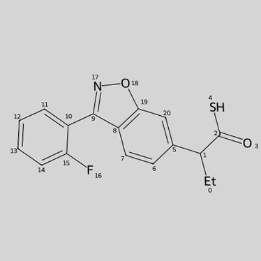 CCC(C(=O)S)c1ccc2c(-c3ccccc3F)noc2c1